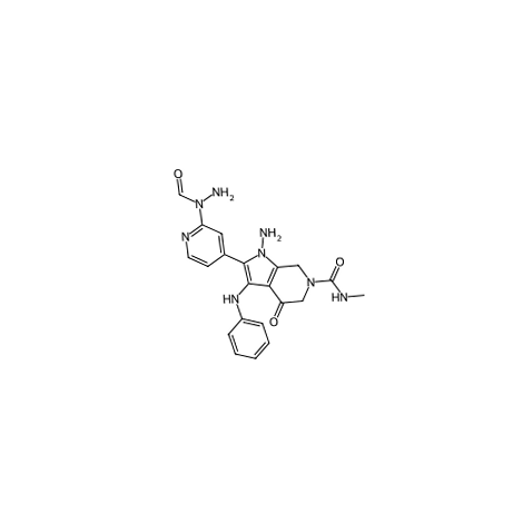 CNC(=O)N1CC(=O)c2c(Nc3ccccc3)c(-c3ccnc(N(N)C=O)c3)n(N)c2C1